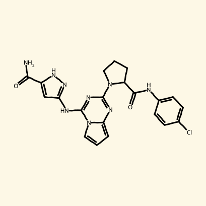 NC(=O)c1cc(Nc2nc(N3CCCC3C(=O)Nc3ccc(Cl)cc3)nc3cccn23)n[nH]1